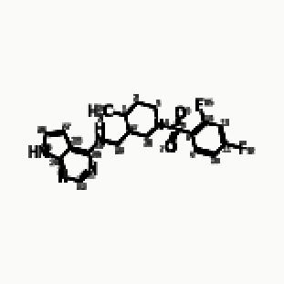 CC1CCN(S(=O)(=O)c2ccc(F)cc2F)CC1CNc1ncnc2[nH]ccc12